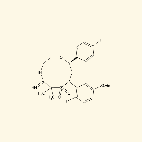 COc1ccc(F)c(C2C[C@H](c3ccc(F)cc3)OCCNC(=N)C(C)(C)S2(=O)=O)c1